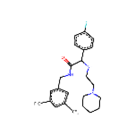 O=C(NCc1cc(C(F)(F)F)cc(C(F)(F)F)c1)C(NCCN1CCCCC1)c1ccc(F)cc1